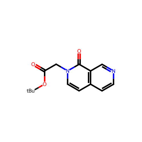 CC(C)(C)OC(=O)Cn1ccc2ccncc2c1=O